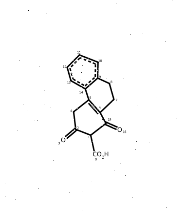 O=C(O)C1C(=O)CC2=C(CCc3ccccc32)C1=O